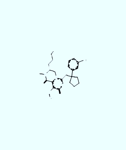 CCCCOc1c2n(c(CC3(c4cccc(CC)c4)CCCC3)nc1=O)C[C@H](CCCO)N(C)C2=O